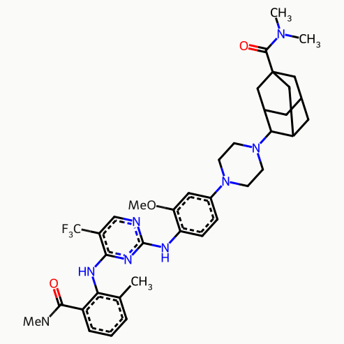 CNC(=O)c1cccc(C)c1Nc1nc(Nc2ccc(N3CCN(C4C5CC6CC4CC(C(=O)N(C)C)(C6)C5)CC3)cc2OC)ncc1C(F)(F)F